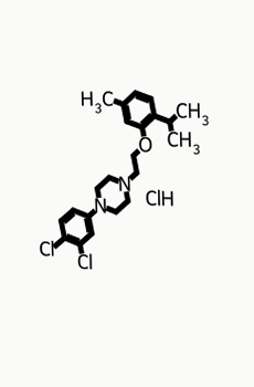 Cc1ccc(C(C)C)c(OCCN2CCN(c3ccc(Cl)c(Cl)c3)CC2)c1.Cl